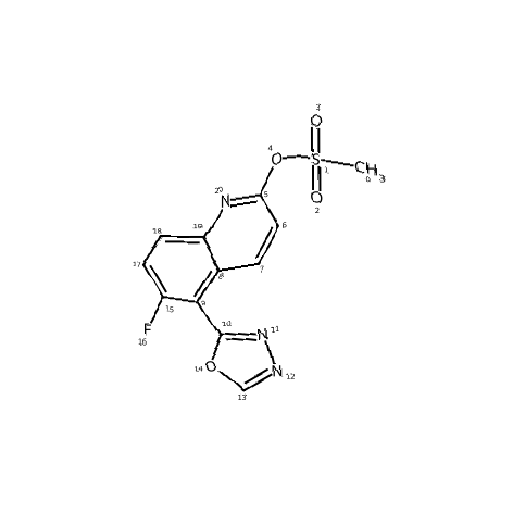 CS(=O)(=O)Oc1ccc2c(-c3nnco3)c(F)ccc2n1